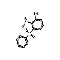 Nc1cccc(S(=O)(=O)c2ccccc2)c1[N+](=O)[O-]